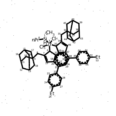 CCC[SiH](C)[Zr]([Cl])([Cl])([CH]1C(CC23CC4CC(CC(C4)C2)C3)=Cc2c(-c3ccc(CC)cc3)cccc21)[CH]1C(CC23CC4CC(CC(C4)C2)C3)=Cc2c(-c3ccc(CC)cc3)cccc21